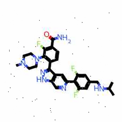 CC(C)NCc1cc(F)c(-c2cc3c(-c4ccc(C(N)=O)c(F)c4N4CCN(C)CC4)n[nH]c3cn2)c(F)c1